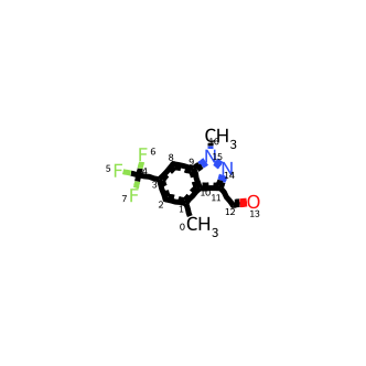 Cc1cc(C(F)(F)F)cc2c1c(C=O)nn2C